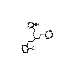 Clc1ccccc1CCC(CCc1ccccc1)CCc1ncc[nH]1